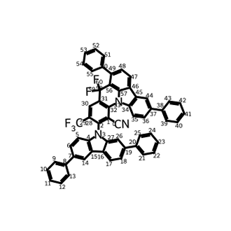 N#Cc1c(-n2c3ccc(-c4ccccc4)cc3c3ccc(-c4ccccc4)cc32)c(C(F)(F)F)cc2c1-n1c3ccc(-c4ccccc4)cc3c3ccc(-c4ccccc4)c(c31)C2(F)F